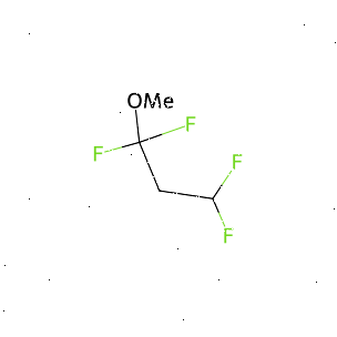 [CH2]OC(F)(F)CC(F)F